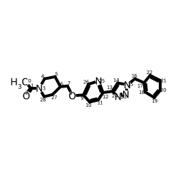 CC(=O)N1CCC(COc2ccc(-c3cn(Cc4ccccc4)nn3)nc2)CC1